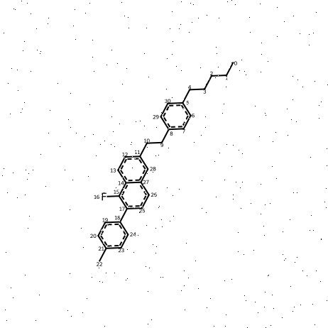 CCCCCc1ccc(CCc2ccc3c(F)c(-c4ccc(C)cc4)ccc3c2)cc1